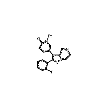 CCn1cc(-c2c(-c3ccccc3F)nn3ccncc23)ccc1=O